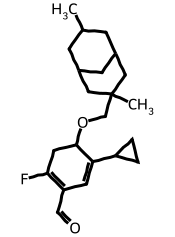 CC1CC2CC(C1)CC(C)(COC1CC(F)=C(C=O)C=C1C1CC1)C2